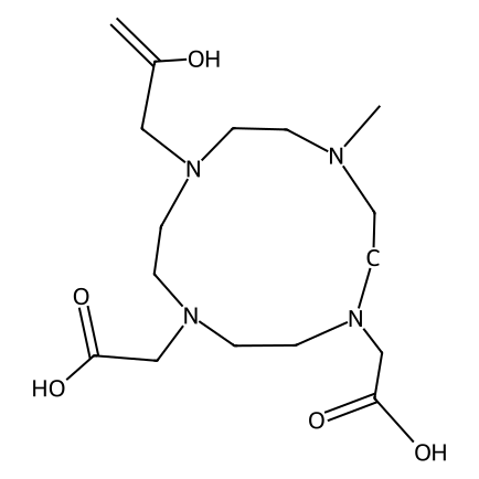 C=C(O)CN1CCN(C)CCN(CC(=O)O)CCN(CC(=O)O)CC1